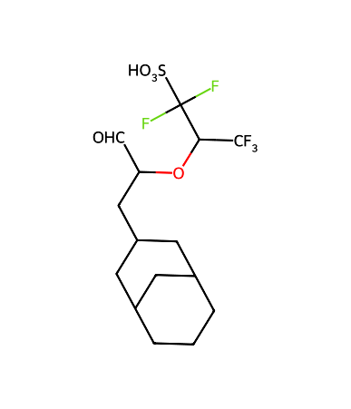 O=CC(CC1CC2CCCC(C2)C1)OC(C(F)(F)F)C(F)(F)S(=O)(=O)O